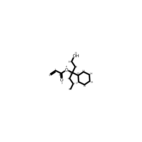 C=CC(=O)OC(CCC)(CCO)C1CCCCC1